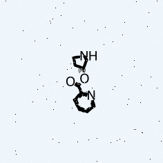 O=C(O[C@@H]1CCNC1)c1ccccn1